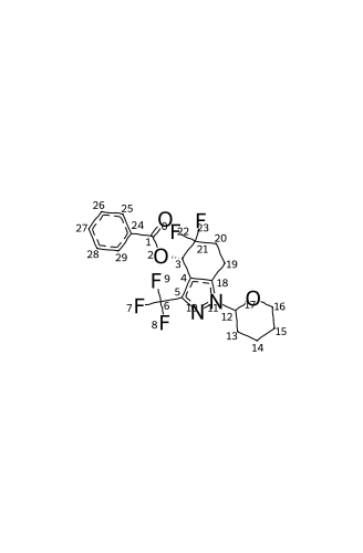 O=C(O[C@H]1c2c(C(F)(F)F)nn(C3CCCCO3)c2CCC1(F)F)c1ccccc1